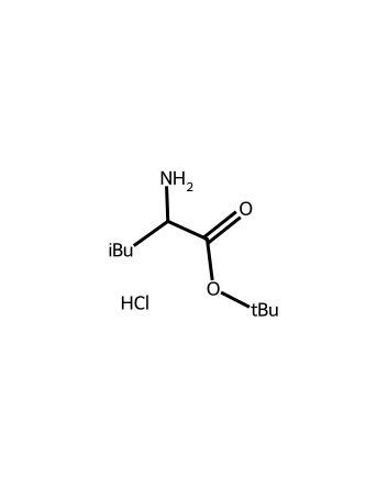 CCC(C)C(N)C(=O)OC(C)(C)C.Cl